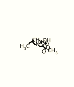 CCC(C)CNCC(C(=O)OC)S(=O)(=O)O